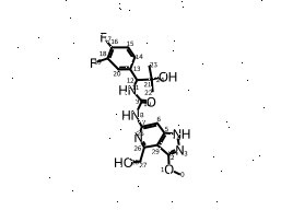 COc1n[nH]c2cc(NC(=O)NC(c3ccc(F)c(F)c3)C(C)(C)O)nc(CO)c12